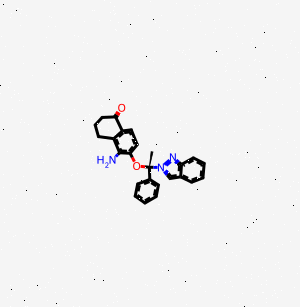 C[C@](Oc1ccc2c(c1N)CCCC2=O)(c1ccccc1)n1cc2ccccc2n1